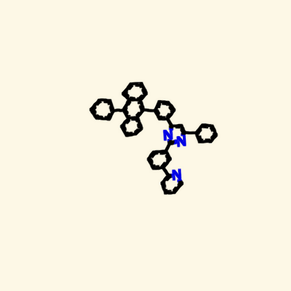 c1ccc(-c2cc(-c3cccc(-c4c5ccccc5c(-c5ccccc5)c5ccccc45)c3)nc(-c3cccc(-c4ccccn4)c3)n2)cc1